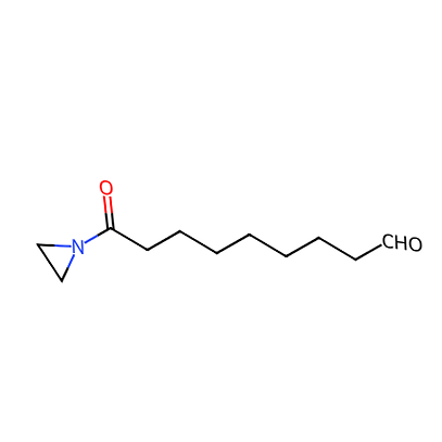 O=CCCCCCCCC(=O)N1CC1